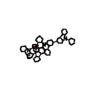 c1ccc(-n2c3ccccc3c3cc(-c4ccc(N(c5ccc6c(c5)C5(c7ccccc7-6)c6ccccc6-n6c7ccccc7c7cccc5c76)c5ccccc5-c5ccccc5-c5cccc6ccccc56)cc4)ccc32)cc1